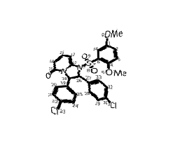 COc1ccc(OC)c(S(=O)(=O)N2c3cccc(=O)n3C(c3ccc(Cl)cc3)C2c2ccc(Cl)cc2)c1